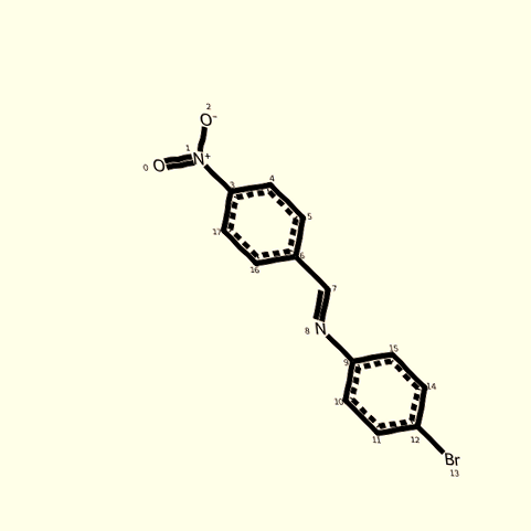 O=[N+]([O-])c1ccc(C=Nc2ccc(Br)cc2)cc1